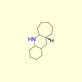 C1CCC2NC3CCCCC3C[C@H]2CC1